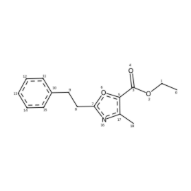 CCOC(=O)c1oc(CCc2ccccc2)nc1C